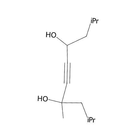 CC(C)CC(O)C#CC(C)(O)CC(C)C